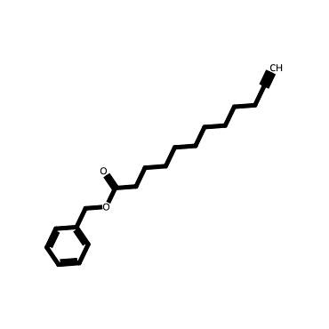 C#CCCCCCCCCCC(=O)OCc1ccccc1